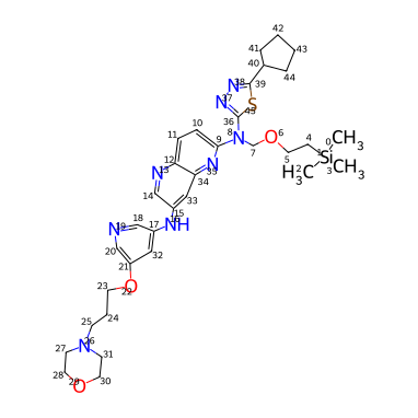 C[Si](C)(C)CCOCN(c1ccc2ncc(Nc3cncc(OCCCN4CCOCC4)c3)cc2n1)c1nnc(C2CCCC2)s1